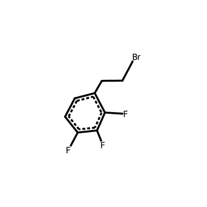 Fc1ccc(CCBr)c(F)c1F